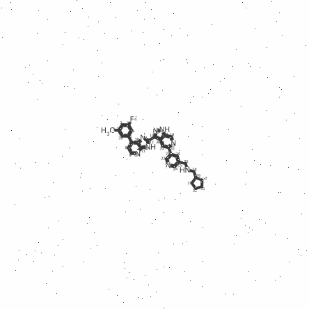 Cc1cc(F)cc(-c2ccnc3[nH]c(-c4n[nH]c5cnc(-c6cncc(CNCC7CCCC7)c6)cc45)nc23)c1